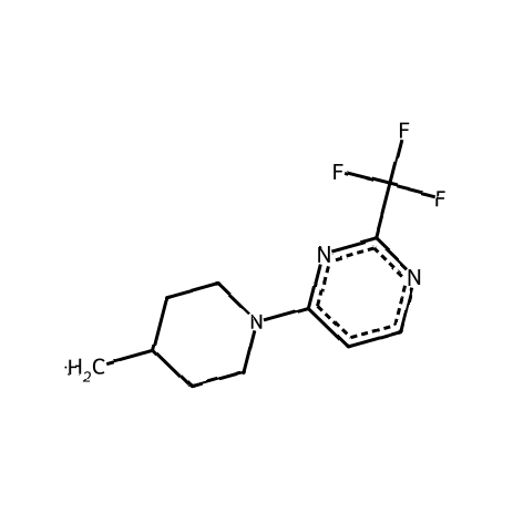 [CH2]C1CCN(c2ccnc(C(F)(F)F)n2)CC1